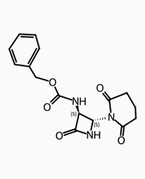 O=C(N[C@@H]1C(=O)N[C@H]1N1C(=O)CCCC1=O)OCc1ccccc1